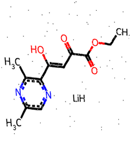 CCOC(=O)C(=O)C=C(O)c1ncc(C)nc1C.[LiH]